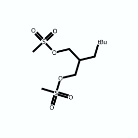 CC(C)(C)CC(COS(C)(=O)=O)COS(C)(=O)=O